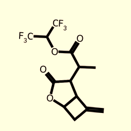 C=C1CC2OC(=O)C(C(C)C(=O)OC(C(F)(F)F)C(F)(F)F)C12